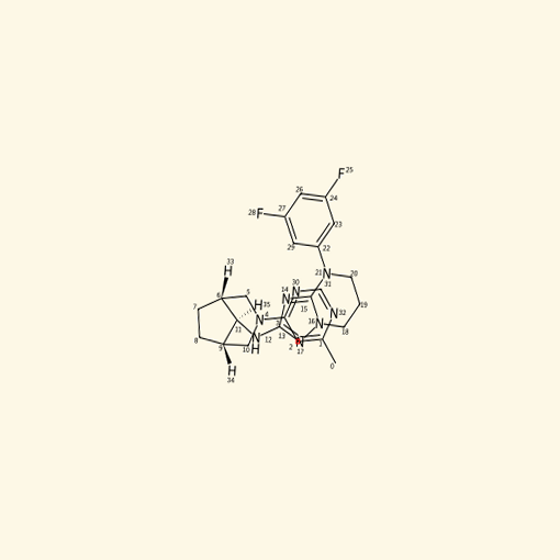 Cc1cc(N2C[C@H]3CC[C@@H](C2)[C@@H]3Nc2nc3n(n2)CCCN3c2cc(F)cc(F)c2)ncn1